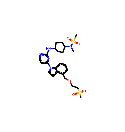 CN(C1CCC(Nc2nccc(-n3ccc4c(COCCS(C)(=O)=O)cccc43)n2)CC1)S(C)(=O)=O